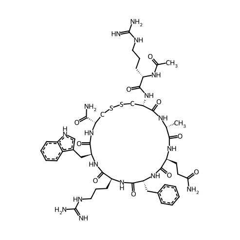 CC(=O)N[C@@H](CCCNC(=N)N)C(=O)N[C@H]1CSSC[C@@H](C(N)=O)NC(=O)[C@H](Cc2c[nH]c3ccccc23)NC(=O)[C@H](CCCNC(=N)N)NC(=O)[C@@H](Cc2ccccc2)NC(=O)[C@H](CCC(N)=O)NC(=O)[C@@H](C)NC1=O